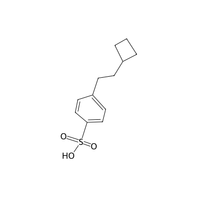 O=S(=O)(O)c1ccc(CCC2CCC2)cc1